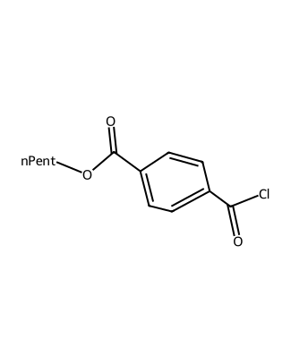 CCCCCOC(=O)c1ccc(C(=O)Cl)cc1